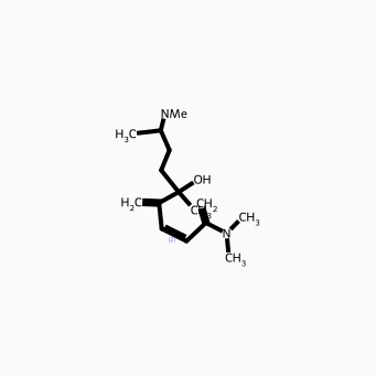 C=C(/C=C\C(=C)C(C)(O)CCC(C)NC)N(C)C